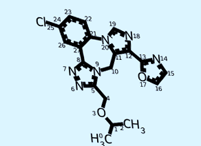 CC(C)OCc1nnc2n1Cc1c(-c3ncco3)ncn1-c1ccc(Cl)cc1-2